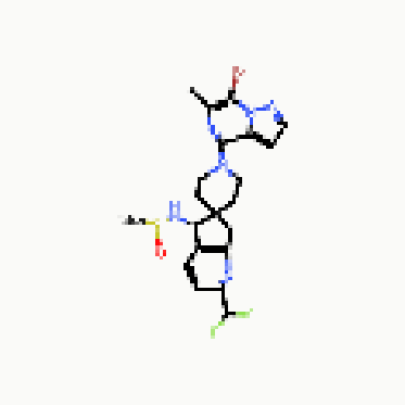 Cc1nc(N2CCC3(CC2)Cc2nc(C(F)F)ccc2[C@H]3N[S+]([O-])C(C)(C)C)c2ccnn2c1Br